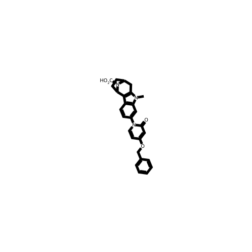 Cn1c2c(c3ccc(-n4ccc(OCc5ccccc5)cc4=O)cc31)C1CCC(C2)N1C(=O)O